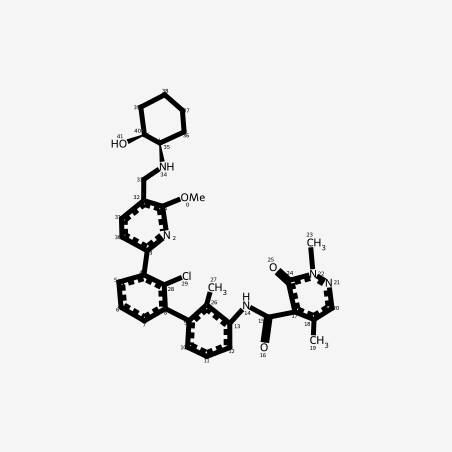 COc1nc(-c2cccc(-c3cccc(NC(=O)c4c(C)cnn(C)c4=O)c3C)c2Cl)ccc1CN[C@@H]1CCCC[C@@H]1O